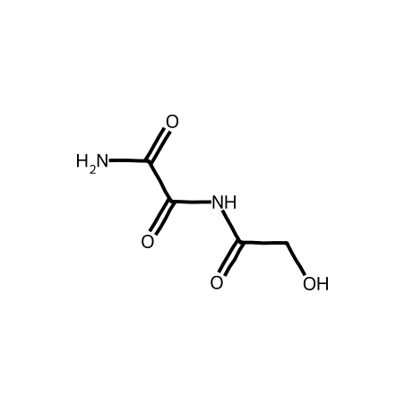 NC(=O)C(=O)NC(=O)CO